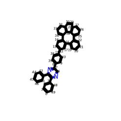 c1ccc(-c2ncc(-c3ccc(-c4ccc5c(c4)c4ccccc4c4cccc6ccc7cccc5c7c64)cc3)nc2-c2ccccc2)cc1